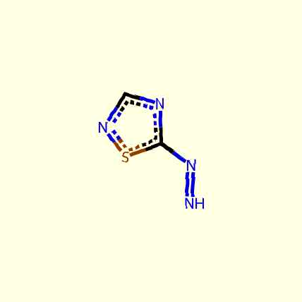 N=Nc1ncns1